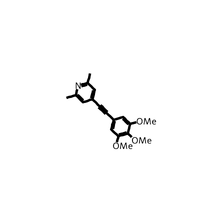 COc1cc(C#Cc2cc(C)nc(C)c2)cc(OC)c1OC